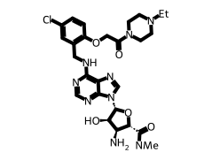 CCN1CCN(C(=O)COc2ccc(Cl)cc2CNc2ncnc3c2ncn3[C@@H]2O[C@H](C(=O)NC)[C@@H](N)[C@H]2O)CC1